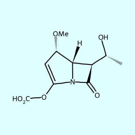 CO[C@H]1C=C(OC(=O)O)N2C(=O)[C@H]([C@@H](C)O)[C@@H]12